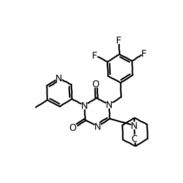 Cc1cncc(-n2c(=O)nc(N3CC4CCC3CC4)n(Cc3cc(F)c(F)c(F)c3)c2=O)c1